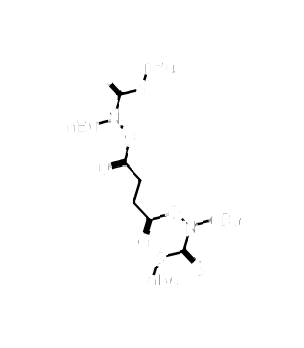 CCCCSC(=S)N(CCCC)OC(=O)CCC(=O)ON(CCCC)C(=S)SCCCC